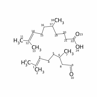 CC(C)=CCCC(C)CC=O.CC(C)=CCCC(C)CCCC(=O)O